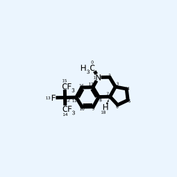 CN1CC2CCC[C@H]2c2ccc(C(F)(C(F)(F)F)C(F)(F)F)cc21